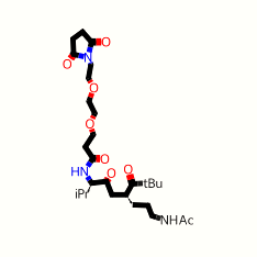 CC(=O)NCCC[C@H](CC(=O)[C@@H](NC(=O)CCOCCOCCN1C(=O)CCC1=O)C(C)C)C(=O)C(C)(C)C